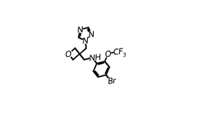 FC(F)(F)Oc1cc(Br)ccc1NCC1(Cn2cncn2)COC1